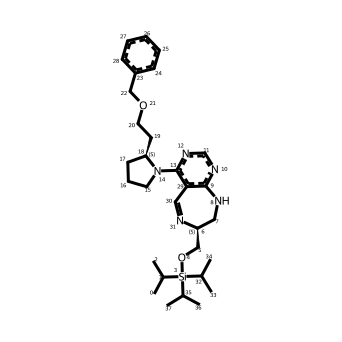 CC(C)[Si](OC[C@@H]1CNc2ncnc(N3CCC[C@H]3CCOCc3ccccc3)c2C=N1)(C(C)C)C(C)C